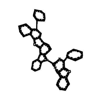 c1ccc(-c2cc3c4ccc5c(c6ccccc6n5-c5nc(-c6ccccc6)c6oc7ccccc7c6n5)c4oc3c3ccccc23)cc1